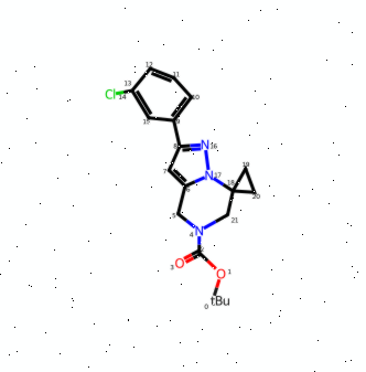 CC(C)(C)OC(=O)N1Cc2cc(-c3cccc(Cl)c3)nn2C2(CC2)C1